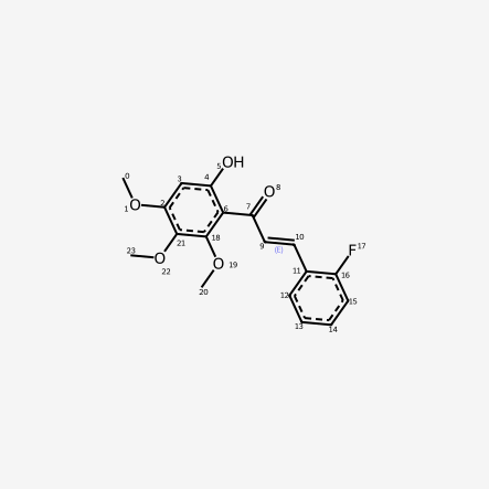 COc1cc(O)c(C(=O)/C=C/c2ccccc2F)c(OC)c1OC